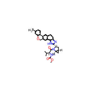 Bc1ccc2c(c1)OCc1cc3c(ccc4nc([C@@H]5C[C@H]6C[C@H]6N5C(=O)[C@@H](NC(=O)OC)C(C)C)[nH]c43)cc1-2